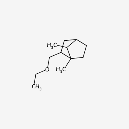 CCOCC1CC2CCC1(C)C2C